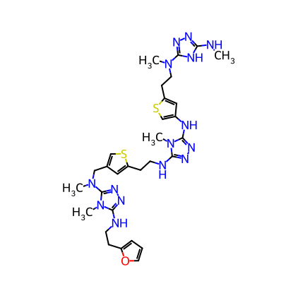 CNc1nnc(N(C)CCc2cc(Nc3nnc(NCCc4cc(CN(C)c5nnc(NCCc6ccco6)n5C)cs4)n3C)cs2)[nH]1